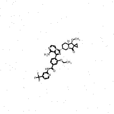 CCOc1cc(C(=O)Nc2cc(C(F)(F)F)ccn2)ccc1-c1nc([C@@H]2CC[C@H]3[C@@H](OC)C4(CC4)C(=O)N3C2)n2ccnc(N)c12